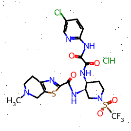 CN1CCc2nc(C(=O)N[C@@H]3CN(S(=O)(=O)C(F)(F)F)CC[C@@H]3NC(=O)C(=O)Nc3ccc(Cl)cn3)sc2C1.Cl